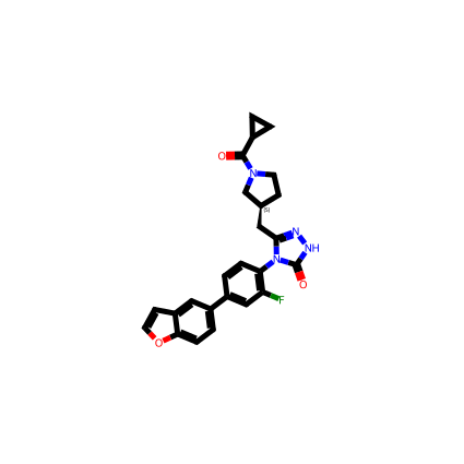 O=C(C1CC1)N1CC[C@@H](Cc2n[nH]c(=O)n2-c2ccc(-c3ccc4occc4c3)cc2F)C1